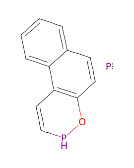 C1=Cc2c(ccc3ccccc23)OP1.[P]